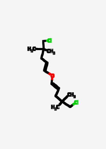 CC(C)(CCl)CC=COC=CCC(C)(C)CCl